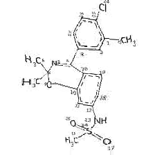 Cc1cc(C2=NC(C)(C)Oc3cc(NS(C)(=O)=O)ccc32)ccc1Cl